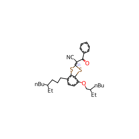 CCCCC(CC)CCCc1ccc(OCC(CC)CCCC)c2c1S/C(=C(\C#N)C(=O)c1ccccc1)S2